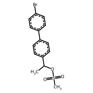 CC(OS(C)(=O)=O)c1ccc(-c2ccc(Br)cc2)cc1